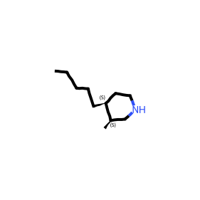 CCCCC[C@H]1CCNC[C@H]1C